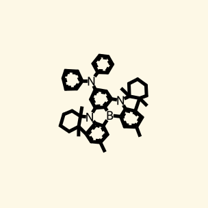 Cc1cc2c3c(c1)C1(C)CCCCC1(C)N3c1cc(N(c3ccccc3)c3ccccc3)cc3c1B2c1cc(C)cc2c1N3C1(C)CCCCC21C